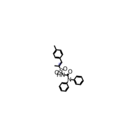 C/C(=C\c1ccc(C)cc1)S(=O)(=O)NC(=O)N(c1ccccc1)c1ccccc1